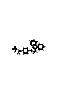 CC(C)(C)OC(=O)N1CCN(c2nc(C3(c4ccccc4F)CCCCC3)cs2)CC1